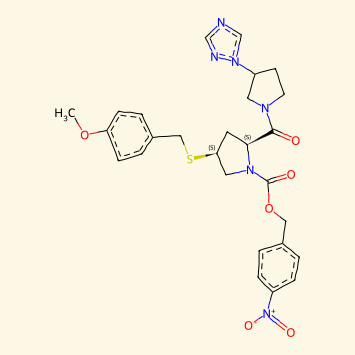 COc1ccc(CS[C@H]2C[C@@H](C(=O)N3CCC(n4cncn4)C3)N(C(=O)OCc3ccc([N+](=O)[O-])cc3)C2)cc1